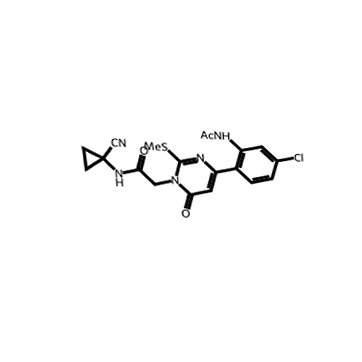 CSc1nc(-c2ccc(Cl)cc2NC(C)=O)cc(=O)n1CC(=O)NC1(C#N)CC1